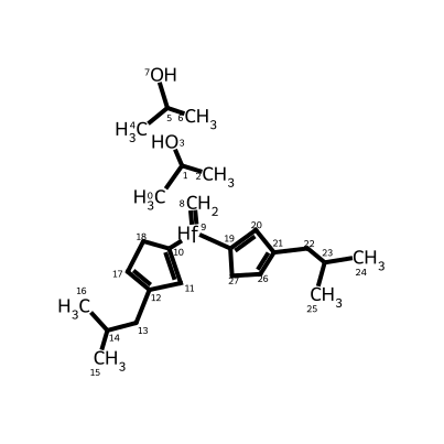 CC(C)O.CC(C)O.[CH2]=[Hf]([C]1=CC(CC(C)C)=CC1)[C]1=CC(CC(C)C)=CC1